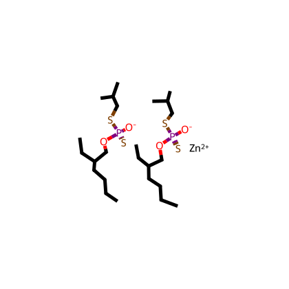 CCCCC(CC)COP([O-])(=S)SCC(C)C.CCCCC(CC)COP([O-])(=S)SCC(C)C.[Zn+2]